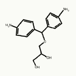 Nc1ccc(C(OCC(O)CO)c2ccc(N)cc2)cc1